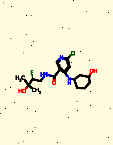 CC(C)(O)[C@H](F)CNC(=O)c1cnc(Cl)cc1N[C@H]1CCCC(O)C1